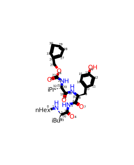 CCCCCCN[C@H](C(=O)NC(=O)[C@H](Cc1ccc(O)cc1)NC(=O)[C@@H](NC(=O)OCc1ccccc1)C(C)C)[C@@H](C)CC